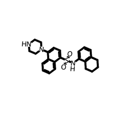 O=S(=O)(Nc1cccc2c1CCCC2)c1ccc(N2CCNCC2)c2ccccc12